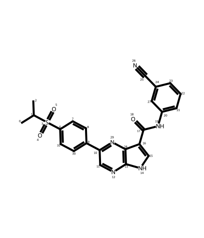 CC(C)S(=O)(=O)c1ccc(-c2cnc3[nH]cc(C(=O)Nc4cccc(C#N)c4)c3n2)cc1